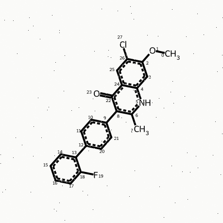 COc1cc2[nH]c(C)c(-c3ccc(-c4ccccc4F)cc3)c(=O)c2cc1Cl